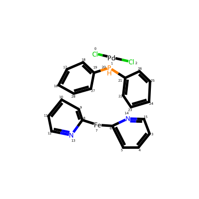 [Cl][Pd][Cl].c1cc[c]([Fe][c]2ccccn2)nc1.c1ccc(Pc2ccccc2)cc1